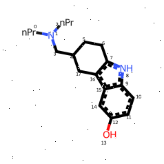 CCCN(CCC)CC1CCc2[nH]c3ccc(O)cc3c2C1